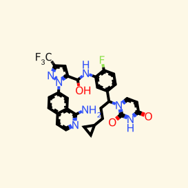 Nc1nccc2ccc(-n3nc(C(F)(F)F)cc3C(O)Nc3cc(C(CCC4CC4)n4ccc(=O)[nH]c4=O)ccc3F)cc12